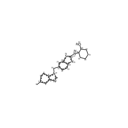 Cc1ccc2c(c1)ncn2Cc1ccc2nc(NC3CCCCC3O)sc2c1